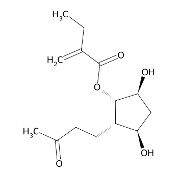 C=C(CC)C(=O)O[C@H]1[C@@H](CCC(C)=O)[C@H](O)C[C@@H]1O